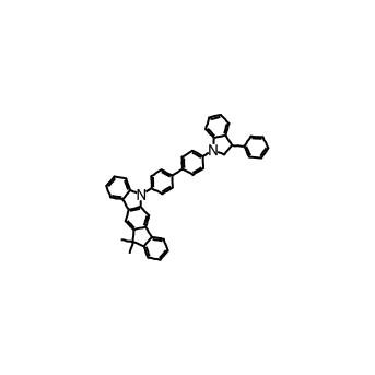 CC1(C)c2ccccc2-c2cc3c(cc21)c1ccccc1n3-c1ccc(-c2ccc(N3CC(c4ccccc4)c4ccccc43)cc2)cc1